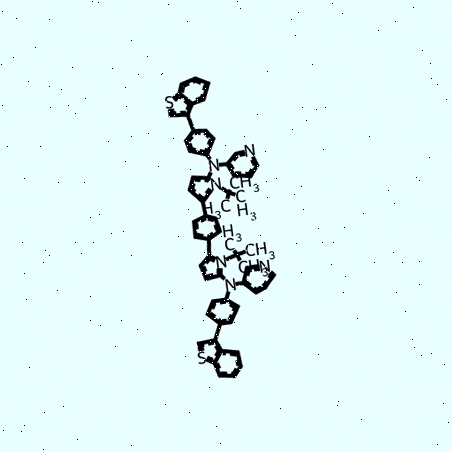 CC(C)(C)n1c(-c2ccc(-c3ccc(N(c4ccc(-c5csc6ccccc56)cc4)c4cccnc4)n3C(C)(C)C)cc2)ccc1N(c1ccc(-c2csc3ccccc23)cc1)c1cccnc1